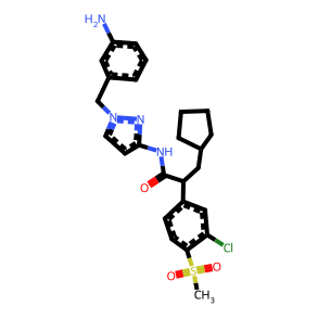 CS(=O)(=O)c1ccc(C(CC2CCCC2)C(=O)Nc2ccn(Cc3cccc(N)c3)n2)cc1Cl